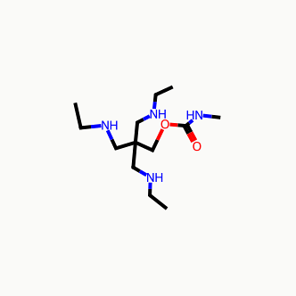 CCNCC(CNCC)(CNCC)COC(=O)NC